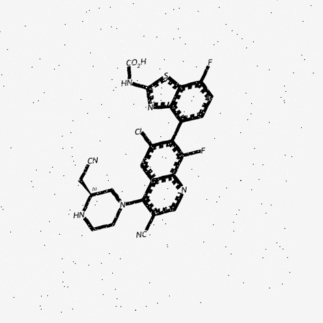 N#CC[C@H]1CN(c2c(C#N)cnc3c(F)c(-c4ccc(F)c5sc(NC(=O)O)nc45)c(Cl)cc23)CCN1